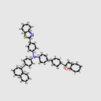 c1ccc2oc(-c3ccc(-c4ccc(N(c5ccc(-c6nc7ccccc7s6)cc5)c5ccc(-c6cccc7ccccc67)cc5)cc4)cc3)cc2c1